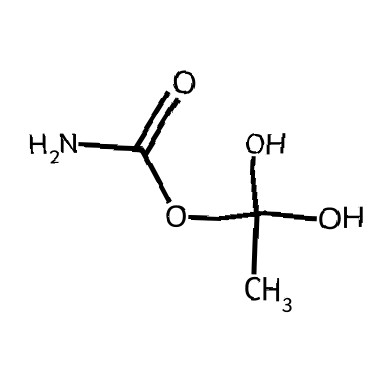 CC(O)(O)OC(N)=O